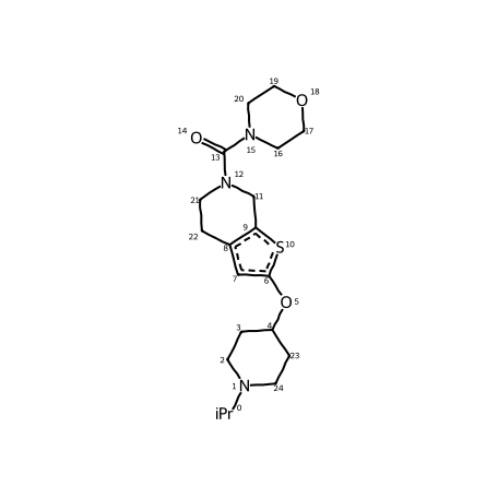 CC(C)N1CCC(Oc2cc3c(s2)CN(C(=O)N2CCOCC2)CC3)CC1